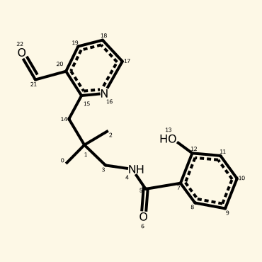 CC(C)(CNC(=O)c1ccccc1O)Cc1ncccc1C=O